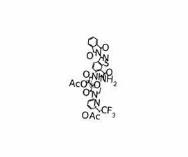 CC(=O)OC(c1cccc(N2CCO[C@H]([C@@H](OC(C)=O)C(=O)Nc3ccc4c(N5C(=O)c6ccccc6C5=O)nsc4c3C(N)=O)C2=O)n1)C(F)(F)F